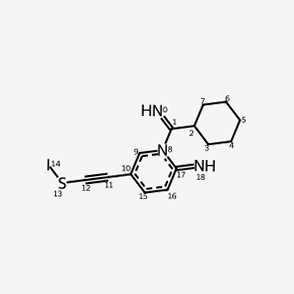 N=C(C1CCCCC1)n1cc(C#CSI)ccc1=N